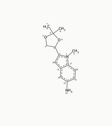 Cn1c(C2COC(C)(C)O2)cc2cc(N)ccc21